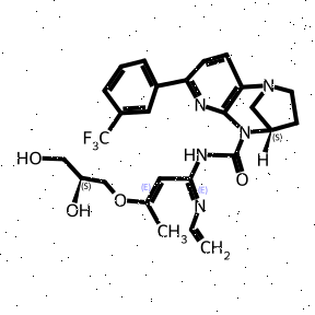 C=C/N=C(\C=C(/C)OC[C@@H](O)CO)NC(=O)N1c2nc(-c3cccc(C(F)(F)F)c3)ccc2N2CC[C@H]1C2